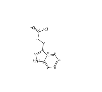 O=C(Cl)CCc1c[nH]c2ccccc12